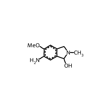 COc1cc2c(cc1N)C(O)N(C)C2